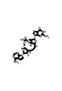 Nc1nc2c(ncn2[C@@H]2O[C@@H]3CCC[C@H]4[C@H](F)[C@H](n5ccc6c(N)ncnc65)O[C@@H]4COP(=O)(S)O[C@@H]2[C@@H]3F)c(=O)[nH]1